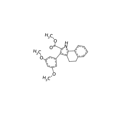 COC(=O)c1[nH]c2c(c1-c1cc(OC)cc(OC)c1)CCc1ccccc1-2